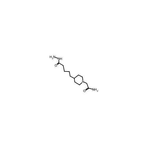 NNC(=O)CCCCC1CCN(CC(N)=O)CC1